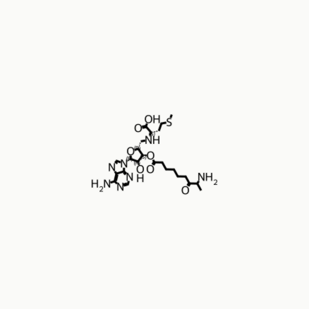 CSCC[C@H](NC[C@H]1O[C@@H](n2cnc3c(N)ncnc32)[C@H](O)[C@@H]1OC(=O)CCCCCC(=O)C(C)N)C(=O)O